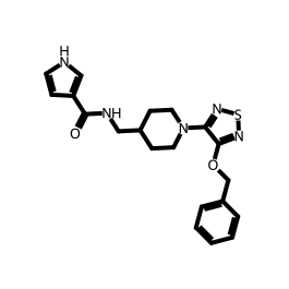 O=C(NCC1CCN(c2nsnc2OCc2ccccc2)CC1)c1cc[nH]c1